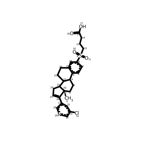 C[C@]12CCC3c4ccc(S(=O)(=O)CCCC(=O)O)cc4CCC3C1CC=C2c1cncc(Cl)c1